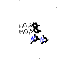 Cc1cc(C)nc(C)c1.Cc1cc(C)nc(C)c1.Cc1ccc(S(=O)(=O)O)cc1.Cc1ccc(S(=O)(=O)O)cc1